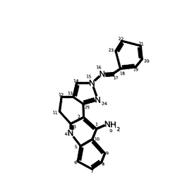 Nc1c2c(nc3ccccc13)CCc1cn(N=Cc3ccccc3)nc1-2